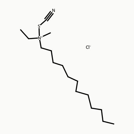 CCCCCCCCCCCC[N+](C)(CC)SC#N.[Cl-]